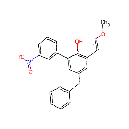 CO/C=C/c1cc(Cc2ccccc2)cc(-c2cccc([N+](=O)[O-])c2)c1O